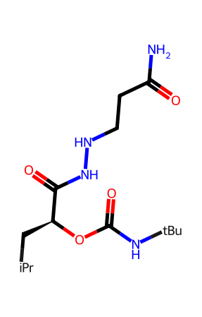 CC(C)C[C@H](OC(=O)NC(C)(C)C)C(=O)NNCCC(N)=O